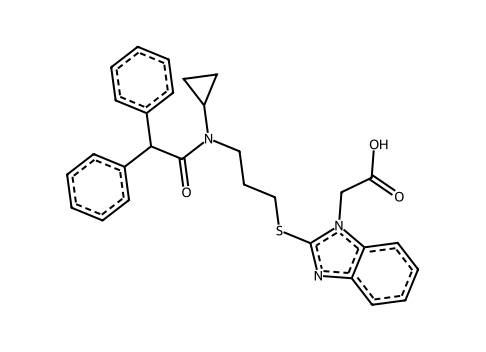 O=C(O)Cn1c(SCCCN(C(=O)C(c2ccccc2)c2ccccc2)C2CC2)nc2ccccc21